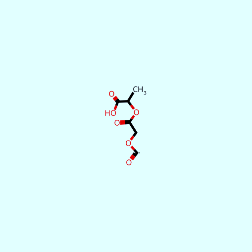 CC(OC(=O)CO[C]=O)C(=O)O